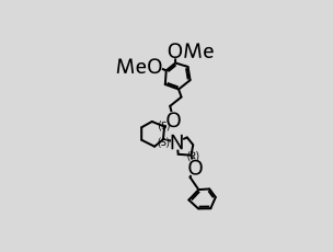 COc1ccc(CCO[C@H]2CCCC[C@@H]2N2CC[C@@H](OCc3ccccc3)C2)cc1OC